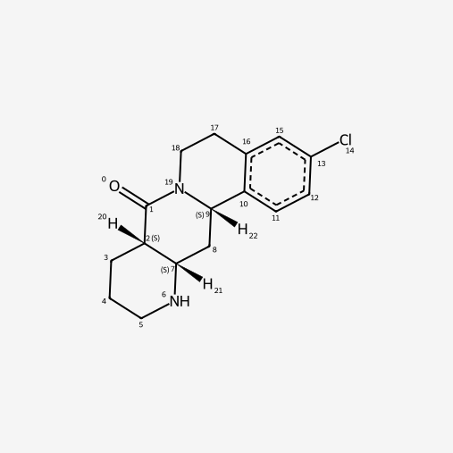 O=C1[C@H]2CCCN[C@H]2C[C@H]2c3ccc(Cl)cc3CCN12